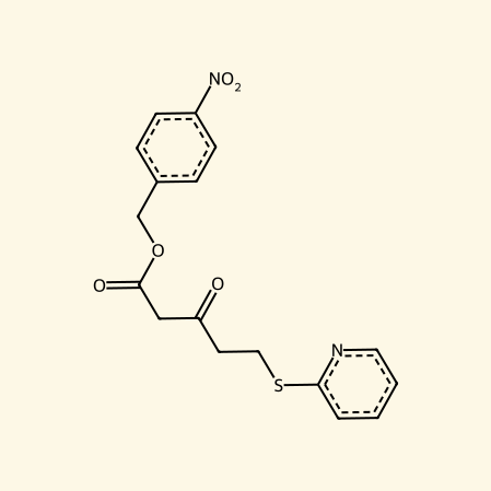 O=C(CCSc1ccccn1)CC(=O)OCc1ccc([N+](=O)[O-])cc1